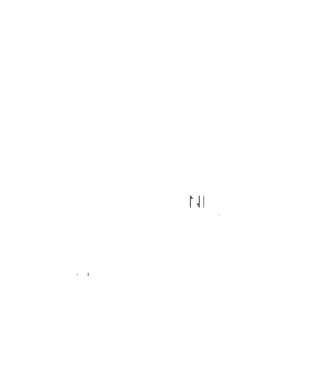 CCC1CC(CC(C)c2sc3ccc(OC)cc3c2CCN)CCC1C